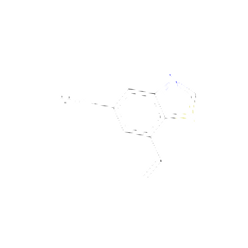 C=Cc1cc(OC)cc2ncsc12